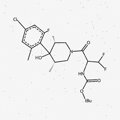 Cc1cc(Cl)cc(F)c1C1(O)[C@H](C)CN(C(=O)C(NC(=O)OC(C)(C)C)C(F)F)C[C@@H]1C